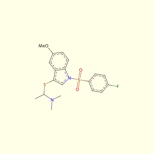 COc1ccc2c(c1)c(SC(C)N(C)C)cn2S(=O)(=O)c1ccc(F)cc1